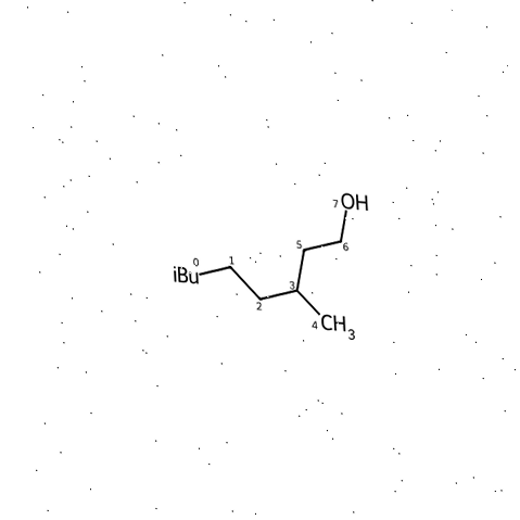 CCC(C)CCC(C)CCO